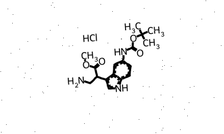 COC(=O)C(CN)c1c[nH]c2ccc(NC(=O)OC(C)(C)C)cc12.Cl